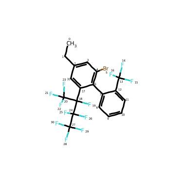 CCc1[c]c(Br)c(-c2ccccc2C(F)(F)F)c(C(F)(C(F)(F)F)C(F)(F)C(F)(F)F)c1